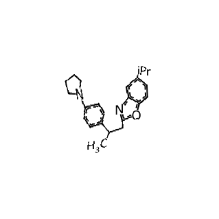 CC(C)c1ccc2oc(CC(C)c3ccc(N4CCCC4)cc3)nc2c1